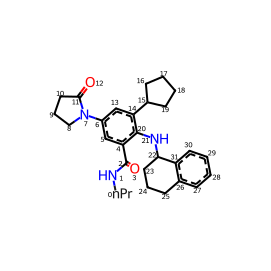 CCCNC(=O)c1cc(N2CCCC2=O)cc(C2CCCC2)c1NC1CCCc2ccccc21